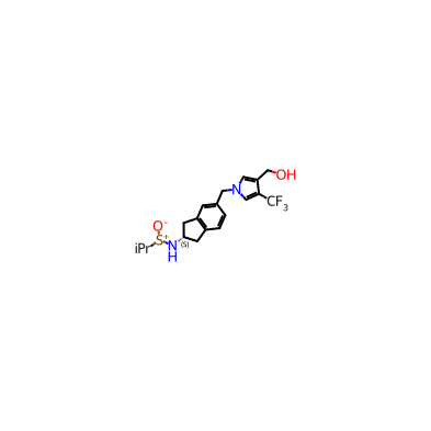 CC(C)[S+]([O-])N[C@H]1Cc2ccc(Cn3cc(CO)c(C(F)(F)F)c3)cc2C1